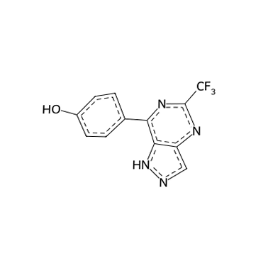 Oc1ccc(-c2nc(C(F)(F)F)nc3cn[nH]c23)cc1